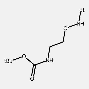 CCNOCCNC(=O)OC(C)(C)C